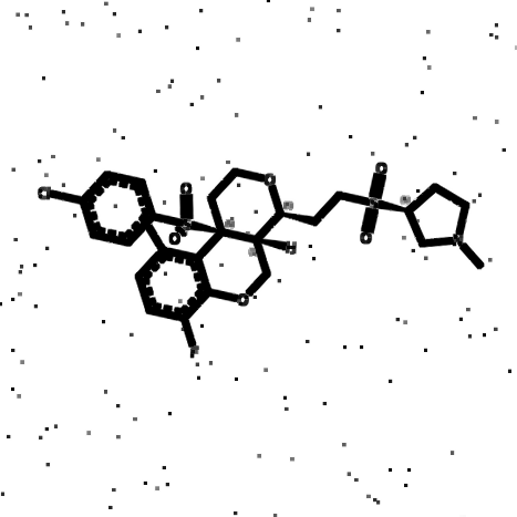 CN1CC[C@H](S(=O)(=O)CC[C@@H]2OCC[C@@]3(S(=O)(=O)c4ccc(Cl)cc4)c4c(F)ccc(F)c4OC[C@@H]23)C1